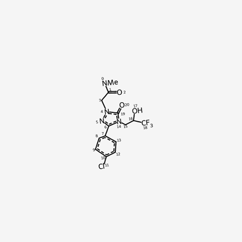 CNC(=O)Cn1nc(-c2ccc(Cl)cc2)n(CC(O)C(F)(F)F)c1=O